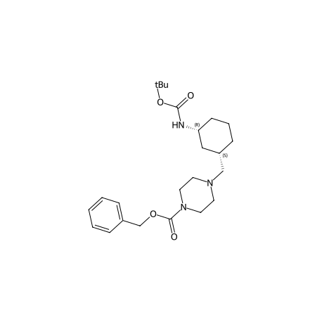 CC(C)(C)OC(=O)N[C@@H]1CCC[C@H](CN2CCN(C(=O)OCc3ccccc3)CC2)C1